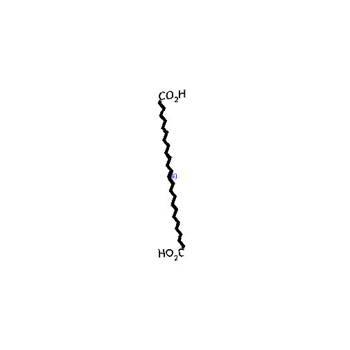 O=C(O)CCCCCCCCCCC/C=C/CCCCCCCCCCCC(=O)O